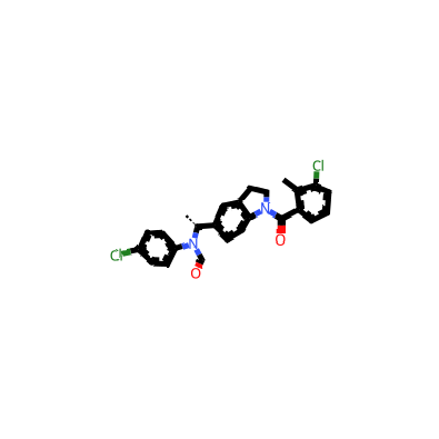 Cc1c(Cl)cccc1C(=O)N1CCc2cc([C@@H](C)N(C=O)c3ccc(Cl)cc3)ccc21